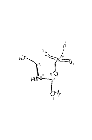 CCNCC.O=S(=O)(Cl)Cl